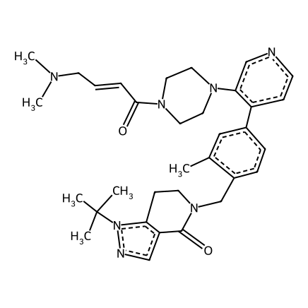 Cc1cc(-c2ccncc2N2CCN(C(=O)/C=C/CN(C)C)CC2)ccc1CN1CCc2c(cnn2C(C)(C)C)C1=O